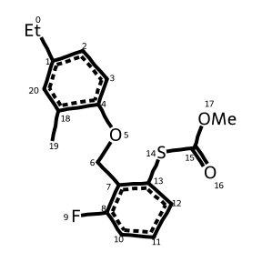 CCc1ccc(OCc2c(F)cccc2SC(=O)OC)c(C)c1